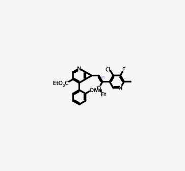 CCOC(=O)c1cnc2c(c1-c1ccccc1OC)C2/C=C(\OCC)c1cnc(C)c(F)c1Cl